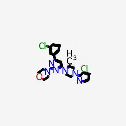 C[C@@H]1CN(c2ncccc2Cl)CCN1c1cc(-c2cccc(Cl)c2)nc(N2CCOCC2)n1